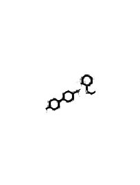 CCC(OC(=O)C1CCC(C2CCC(C)CC2)CC1)C1CCCCC1